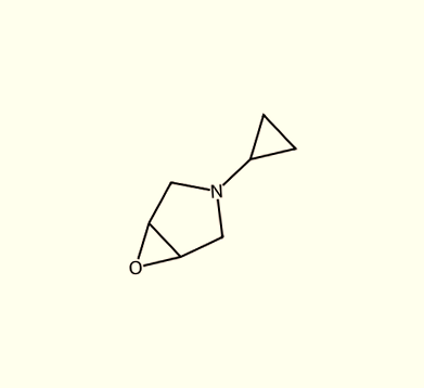 C1CC1N1CC2OC2C1